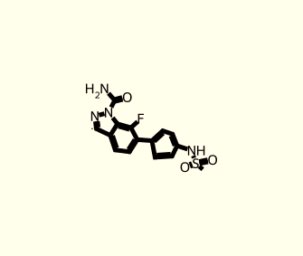 CS(=O)(=O)Nc1ccc(-c2ccc3[c]nn(C(N)=O)c3c2F)cc1